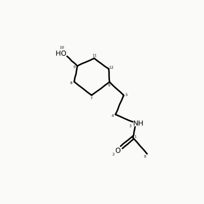 CC(=O)NCCC1CCC(O)CC1